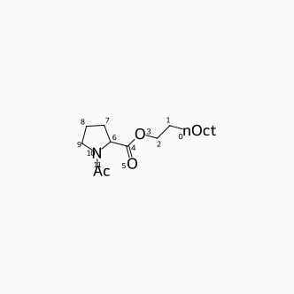 CCCCCCCCCCOC(=O)C1CCCN1C(C)=O